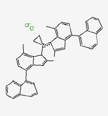 CC1=Cc2c(-c3cccc4ccccc34)ccc(C)c2[CH]1[Zr+2]1([CH]2C(C)=Cc3c(-c4cccc5ccccc45)ccc(C)c32)[CH2][CH2]1.[Cl-].[Cl-]